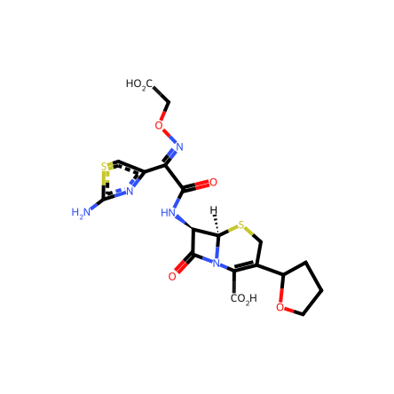 Nc1nc(/C(=N\OCC(=O)O)C(=O)N[C@@H]2C(=O)N3C(C(=O)O)=C(C4CCCO4)CS[C@H]23)cs1